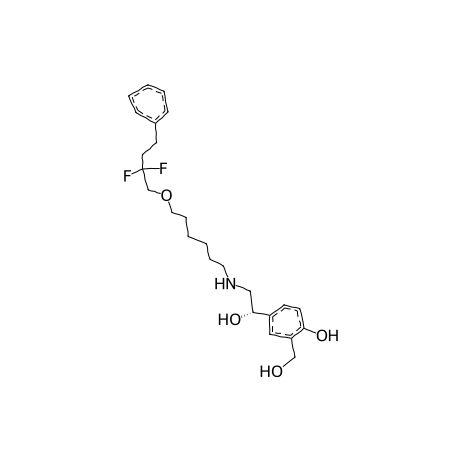 OCc1cc([C@H](O)CNCCCCCCOCC(F)(F)CCc2ccccc2)ccc1O